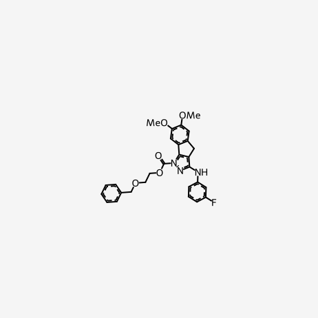 COc1cc2c(cc1OC)-c1c(c(Nc3cccc(F)c3)nn1C(=O)OCCOCc1ccccc1)C2